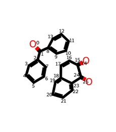 O=C(c1ccccc1)c1ccccc1.O=C1C=Cc2ccccc2C1=O